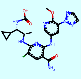 COc1ncc(Nc2nc(N[C@H](C)[C@@H](NC(=O)O)C3CC3)c(F)cc2C(N)=O)cc1-n1nccn1